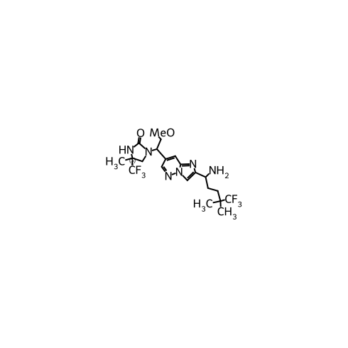 COCC(c1cnn2cc(C(N)CCC(C)(C)C(F)(F)F)nc2c1)N1C[C@@](C)(C(F)(F)F)NC1=O